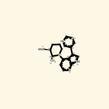 CN[C@H]1CCCN(c2ccnc3[nH]cc(-c4cncnc4)c23)[C@H]1C